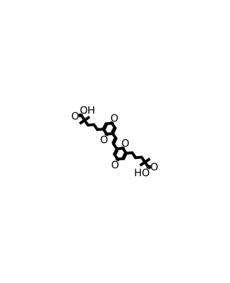 CC(C)(CCCC1=CC(=O)C=C(C=CC2=CC(=O)C=C(CCCC(C)(C)C(=O)O)C2=O)C1=O)C(=O)O